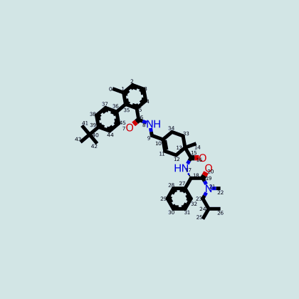 Cc1cccc(C(=O)NCC2=CCC(C)(C(=O)N[C@H](C(=O)N(C)CC(C)C)c3ccccc3)CC2)c1-c1ccc(C(C)(C)C)cc1